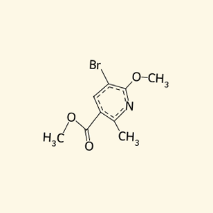 COC(=O)c1cc(Br)c(OC)nc1C